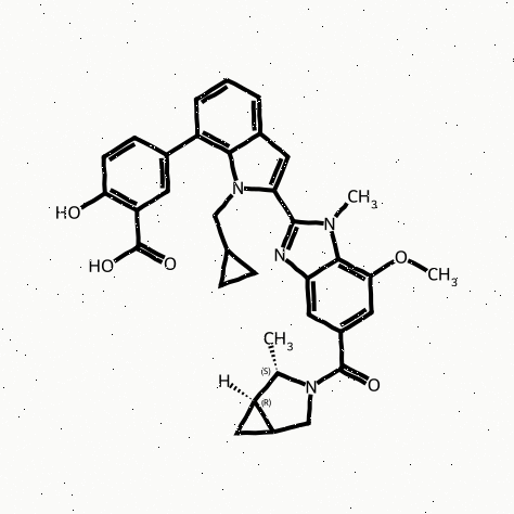 COc1cc(C(=O)N2CC3C[C@H]3[C@@H]2C)cc2nc(-c3cc4cccc(-c5ccc(O)c(C(=O)O)c5)c4n3CC3CC3)n(C)c12